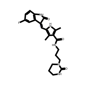 Cc1[nH]c(/C=C2\C(=O)Nc3ccc(F)cc32)c(C)c1C(=O)NCCCN1CCCNC1=O